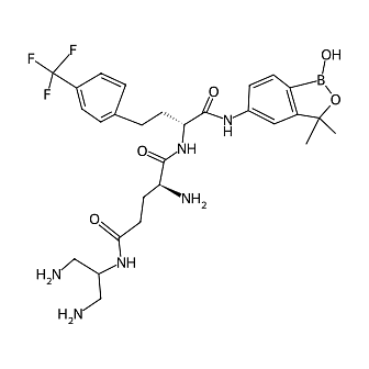 CC1(C)OB(O)c2ccc(NC(=O)[C@@H](CCc3ccc(C(F)(F)F)cc3)NC(=O)[C@@H](N)CCC(=O)NC(CN)CN)cc21